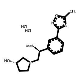 CN[C@H](CN1CC[C@H](O)C1)c1cccc(-c2noc(C)n2)c1.Cl.Cl